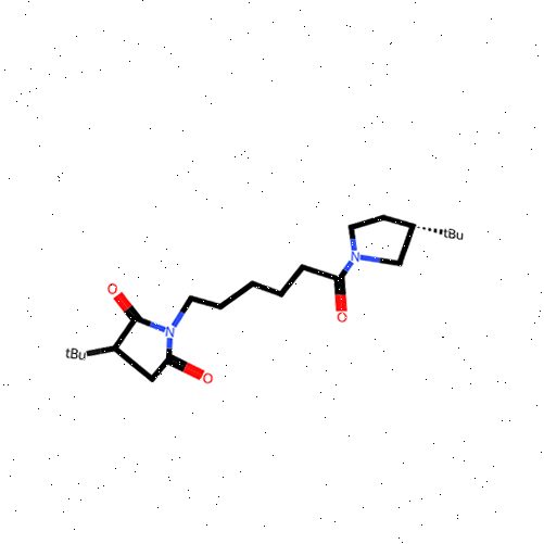 CC(C)(C)C1CC(=O)N(CCCCCC(=O)N2CC[C@H](C(C)(C)C)C2)C1=O